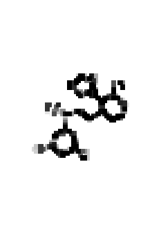 N#Cc1cccc(C=CC(c2cc(Cl)cc(Cl)c2)C(F)(F)F)c1-n1cncn1